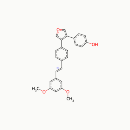 COc1cc(/C=C/c2ccc(-c3cocc3-c3ccc(O)cc3)cc2)cc(OC)c1